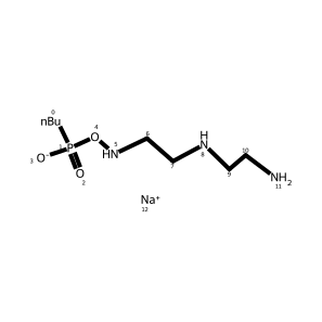 CCCCP(=O)([O-])ONCCNCCN.[Na+]